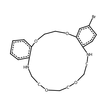 Brc1ccc2c(c1)OCCOc1ccccc1NCCOCCOCCN2